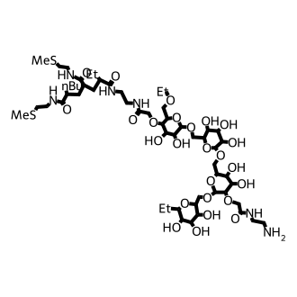 CCCCC(CC(CC(CC)C(=O)NCCNC(=O)COC1C(COCC)OC(OCC2OC(OCC3OC(OCC4OC(CC)C(O)C(O)C4O)C(OCC(=O)NCCN)C(O)C3O)C(O)C(O)C2O)C(O)C1O)C(=O)NCCSC)C(=O)NCCSC